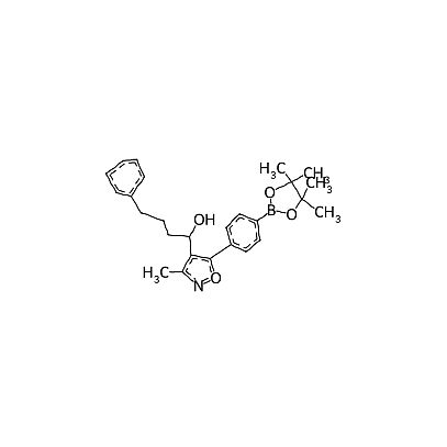 Cc1noc(-c2ccc(B3OC(C)(C)C(C)(C)O3)cc2)c1C(O)CCCc1ccccc1